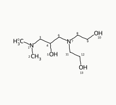 CN(C)CC(O)CN(CCO)CCO